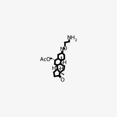 CC(=O)OC[C@H]1C[C@@H]2[C@H](CC[C@]3(C)C(=O)CC[C@@H]23)[C@@]2(C)CCC(=NOCCN)CC12